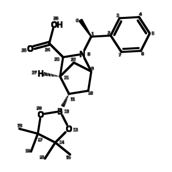 C[C@@H](c1ccccc1)N1C2C[C@H](B3OC(C)(C)C(C)(C)O3)[C@H](C2)C1C(=O)O